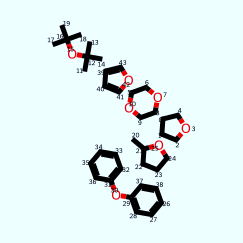 C1CCOC1.C1COCCO1.CC(C)(C)OC(C)(C)C.CC1CCCO1.c1ccc(Oc2ccccc2)cc1.c1ccoc1